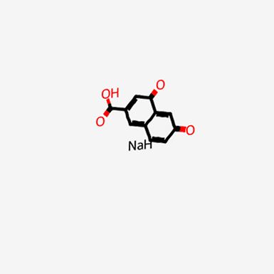 O=C1C=CC2=CC(C(=O)O)=CC(=O)C2=C1.[NaH]